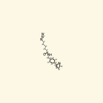 [N-]=[N+]=NCCCCCC(=O)NCc1ccc(-c2nccs2)cc1